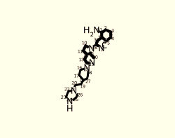 Nc1cccc2cnc(-n3ccc4cc(N5CCC(CCN6CCNCC6)CC5)ncc43)cc12